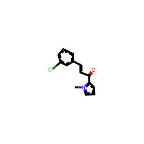 Cn1cccc1C(=O)/C=C/c1cccc(Cl)c1